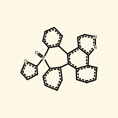 O=P1(c2ccco2)c2ccccc2-c2c(c3ccnnc3c3ccccc23)-c2ccccc21